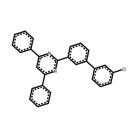 Clc1cccc(-c2cccc(-c3nc(-c4ccccc4)cc(-c4ccccc4)n3)c2)c1